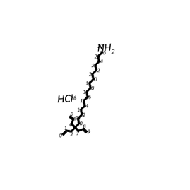 C=CCC(CC=C)(CC=C)CCCCCCCCCCCCCCCCCN.Cl